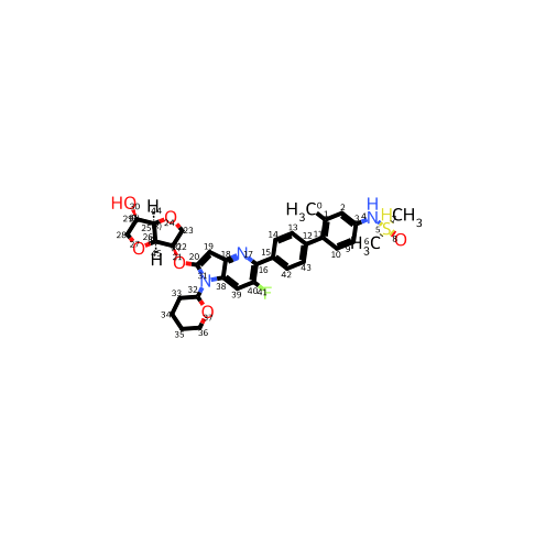 Cc1cc(N[SH](C)(C)=O)ccc1-c1ccc(-c2nc3cc(O[C@@H]4CO[C@H]5[C@@H]4OC[C@H]5O)n(C4CCCCO4)c3cc2F)cc1